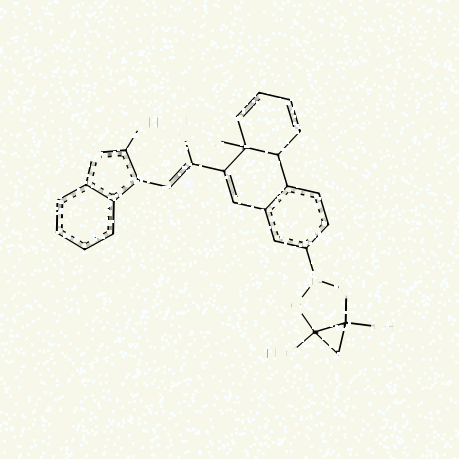 C/C(=C\c1c(C)oc2ccccc12)C1=Cc2cc(B3OC4(C)CC4(C)O3)ccc2C2C=CC=CC12C